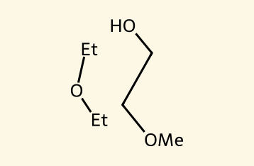 CCOCC.COCCO